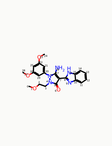 COCCn1c(=O)c(-c2nc3ccccc3[nH]2)c(N)n1-c1cc(OC)cc(OC)c1